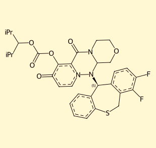 CC(C)C(OC(=O)Oc1c2n(ccc1=O)N([C@@H]1c3ccccc3SCc3c1ccc(F)c3F)C1COCCN1C2=O)C(C)C